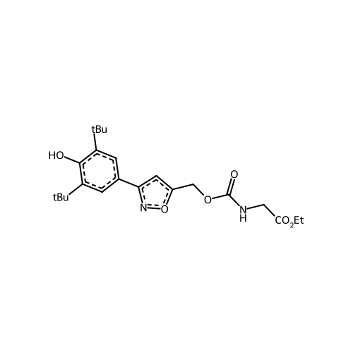 CCOC(=O)CNC(=O)OCc1cc(-c2cc(C(C)(C)C)c(O)c(C(C)(C)C)c2)no1